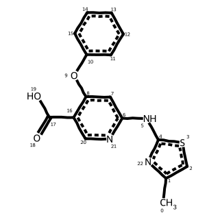 Cc1csc(Nc2cc(Oc3ccccc3)c(C(=O)O)cn2)n1